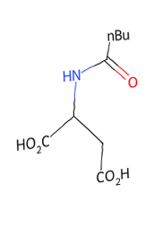 CCCCC(=O)NC(CC(=O)O)C(=O)O